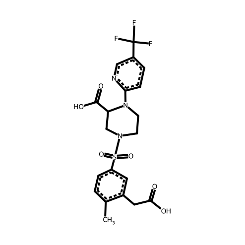 Cc1ccc(S(=O)(=O)N2CCN(c3ccc(C(F)(F)F)cn3)C(C(=O)O)C2)cc1CC(=O)O